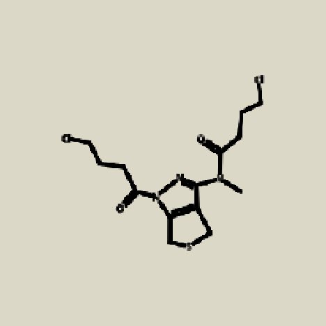 CN(C(=O)CCCCl)c1nn(C(=O)CCCCl)c2c1CSC2